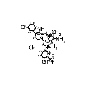 CN(CCN1CCc2c([nH]c3ccc(Cl)cc23)C1C[n+]1ccc(N)n1C)c1ccc(Cl)c(C(F)(F)F)n1.[Cl-]